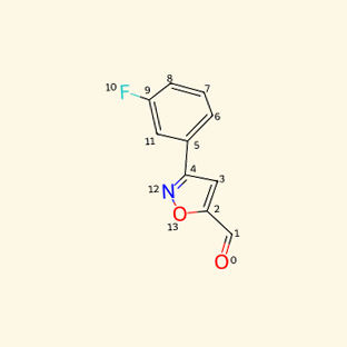 O=Cc1cc(-c2cccc(F)c2)no1